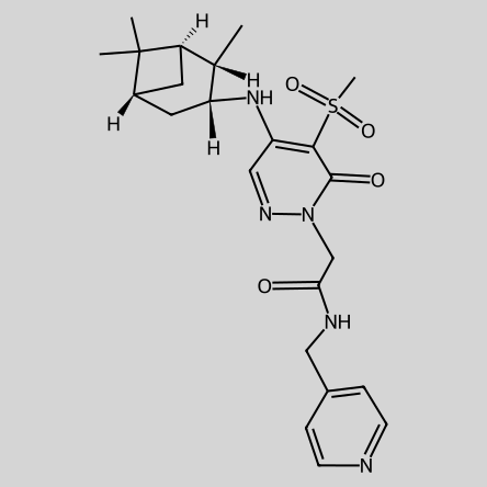 C[C@H]1[C@H]2C[C@H](C[C@H]1Nc1cnn(CC(=O)NCc3ccncc3)c(=O)c1S(C)(=O)=O)C2(C)C